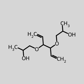 C=CC(OCC(C)O)C(C=C)OCC(C)O